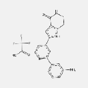 Nc1cccc(-c2cc(-c3cc4c([nH]3)CCNC4=O)ccn2)c1.O=C(O)C(F)(F)F